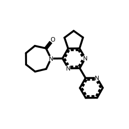 O=C1CCCCCN1c1nc(-c2ccccn2)nc2c1CCC2